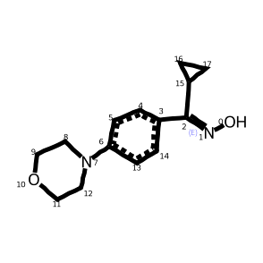 O/N=C(/c1ccc(N2CCOCC2)cc1)C1CC1